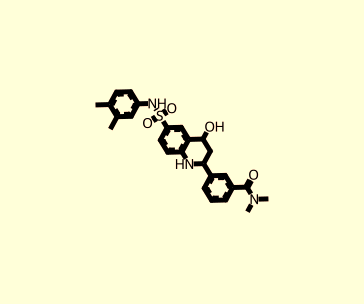 Cc1ccc(NS(=O)(=O)c2ccc3c(c2)C(O)CC(c2cccc(C(=O)N(C)C)c2)N3)cc1C